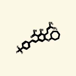 CC(C)=CCc1c(OC2CCCCCC2)cc(C=Cc2ccc(C(F)(F)F)cc2)c(C(=O)O)c1O